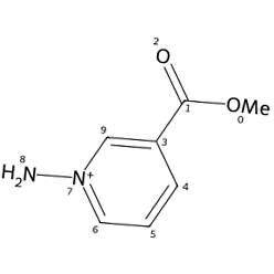 COC(=O)c1ccc[n+](N)c1